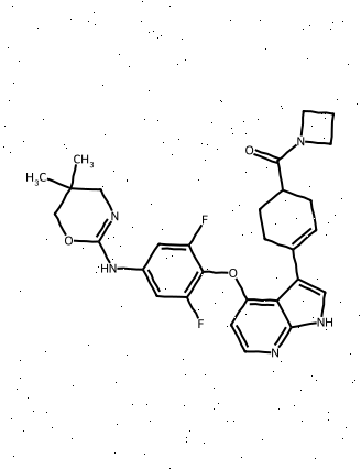 CC1(C)CN=C(Nc2cc(F)c(Oc3ccnc4[nH]cc(C5=CCC(C(=O)N6CCC6)CC5)c34)c(F)c2)OC1